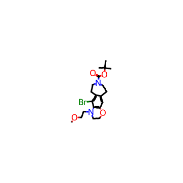 COCCN1CCOc2cc3c(c(Br)c21)CCN(C(=O)OC(C)(C)C)CC3